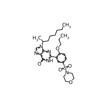 CCCCCCC(C)n1cnc2c(=O)[nH]c(-c3cc(S(=O)(=O)N4CCOCC4)ccc3OCCC)nc21